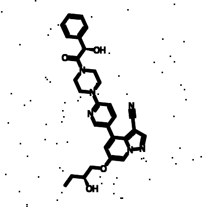 CC[C@H](O)COc1cc(-c2ccc(N3CCN(C(=O)[C@H](O)c4ccccc4)CC3)nc2)c2c(C#N)cnn2c1